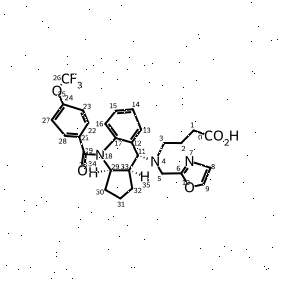 O=C(O)CCCN(Cc1ncco1)[C@H]1c2ccccc2N(C(=O)c2ccc(OC(F)(F)F)cc2)[C@@H]2CCC[C@@H]21